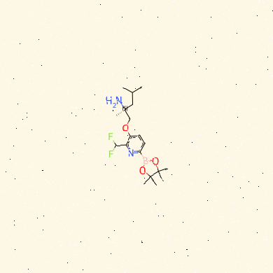 CC(C)C[C@](C)(N)COc1ccc(B2OC(C)(C)C(C)(C)O2)nc1C(F)F